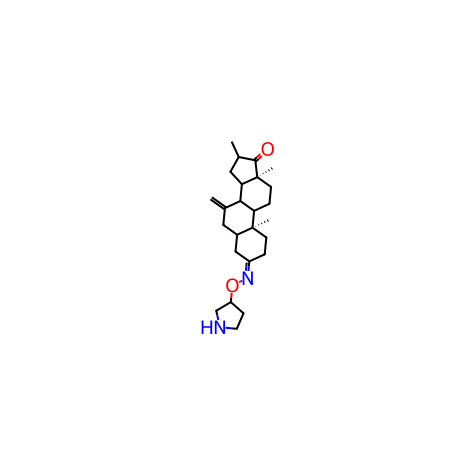 C=C1CC2CC(=NOC3CCNC3)CC[C@]2(C)C2CC[C@]3(C)C(=O)C(C)CC3C12